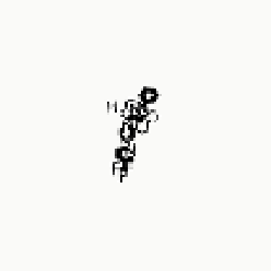 Cn1c(CN2CCN(c3ccc(C(F)(F)F)cn3)CC2)c(Cl)c(=O)n1-c1ccccc1